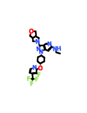 CCNc1cc2c(cn1)c(N1CC3COCC3C1)nn2[C@H]1CC[C@@H](Oc2nccc(C(F)(F)F)c2F)CC1